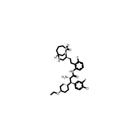 CCO[C@H]1CC[C@H]([C@H](c2ccc(Cl)c(F)c2)[C@H](N)C(=O)Nc2cccc(F)c2CC[C@H]2CN[C@@H]3CCCS(=O)(=O)N2C3)CC1